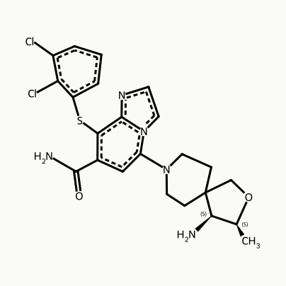 C[C@@H]1OCC2(CCN(c3cc(C(N)=O)c(Sc4cccc(Cl)c4Cl)c4nccn34)CC2)[C@@H]1N